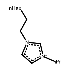 CCCCCCCCn1cc[n+](C(C)C)c1